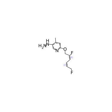 Cc1cc(OC/C(F)=C\C=C/CF)ncc1NN